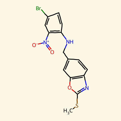 CSc1nc2ccc(CNc3ccc(Br)cc3[N+](=O)[O-])cc2o1